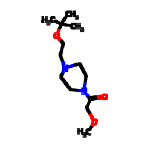 COCC(=O)N1CCN(CCOC(C)(C)C)CC1